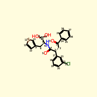 O=C(C[C@@H](C(=O)N[C@@H](Cc1ccsc1)B(O)O)c1cccc(Cl)c1)c1ccccc1